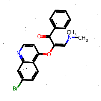 CN(C)/C=C(/Oc1ccnc2cc(Br)ccc12)C(=O)c1ccccc1